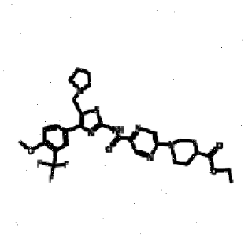 CCOC(=O)C1CCN(c2cnc(C(=O)Nc3nc(-c4ccc(OC)c(C(F)(F)F)c4)c(CN4CCCC4)s3)cn2)CC1